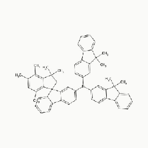 Cc1cc(C)c2c(c1C)C(C)(C)CC21c2ccccc2-c2ccc(N(c3ccc4c(c3)C(C)(C)c3ccccc3-4)c3ccc4c(c3)C(C)(C)c3ccccc3-4)cc21